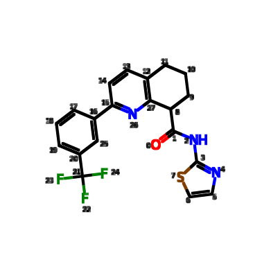 O=C(Nc1nccs1)C1CCCc2ccc(-c3cccc(C(F)(F)F)c3)nc21